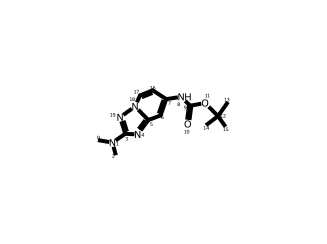 CN(C)c1nc2cc(NC(=O)OC(C)(C)C)ccn2n1